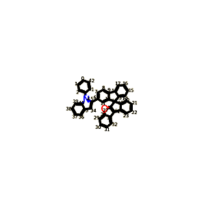 c1ccc(-n2c(-c3ccc4c(c3)C3(c5ccccc5-4)c4ccccc4-c4c3oc3ccccc43)cc3ccccc32)cc1